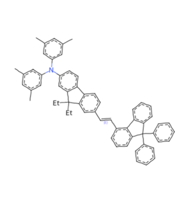 CCC1(CC)c2cc(/C=C/c3cccc4c3-c3ccccc3C4(c3ccccc3)c3ccccc3)ccc2-c2ccc(N(c3cc(C)cc(C)c3)c3cc(C)cc(C)c3)cc21